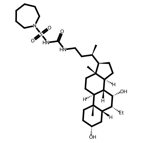 CC[C@H]1[C@@H](O)[C@@H]2[C@H](CC[C@]3(C)[C@@H]([C@H](C)CCNC(=O)NS(=O)(=O)N4CCCCCC4)CC[C@@H]23)[C@@]2(C)CC[C@@H](O)C[C@@H]12